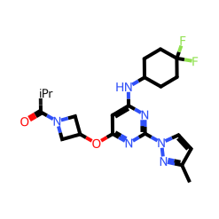 Cc1ccn(-c2nc(NC3CCC(F)(F)CC3)cc(OC3CN(C(=O)C(C)C)C3)n2)n1